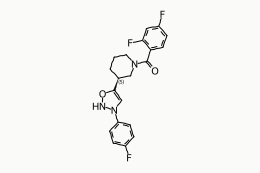 O=C(c1ccc(F)cc1F)N1CCC[C@H](C2=CN(c3ccc(F)cc3)NO2)C1